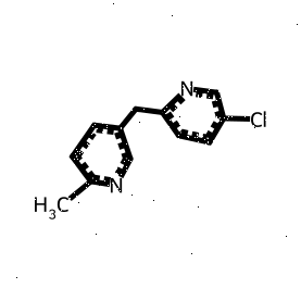 Cc1ccc(Cc2ccc(Cl)cn2)cn1